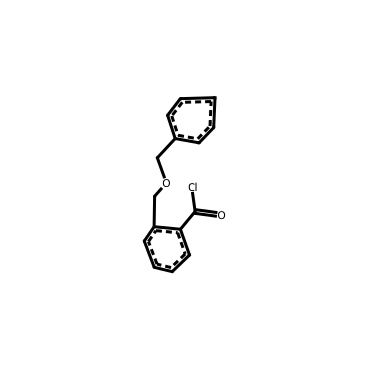 O=C(Cl)c1ccccc1COCc1ccccc1